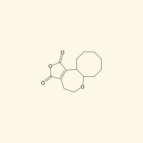 O=C1OC(=O)C2=C1CCOC1CCCCCCC21